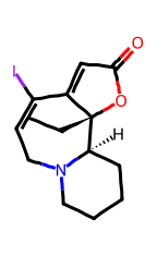 CC[C@]12OC(=O)C=C1C(I)=CCN1CCCC[C@@H]12